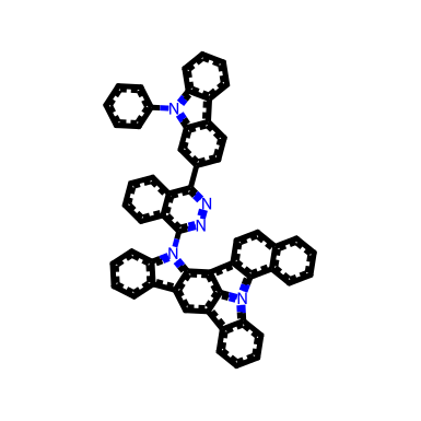 c1ccc(-n2c3ccccc3c3ccc(-c4nnc(-n5c6ccccc6c6cc7c8ccccc8n8c9c%10ccccc%10ccc9c(c65)c78)c5ccccc45)cc32)cc1